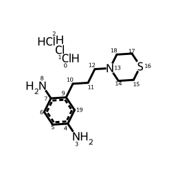 Cl.Cl.Cl.Nc1ccc(N)c(CCCN2CCSCC2)c1